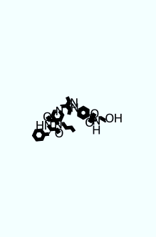 CCCCN1C(=O)[C@H](CC2CCCCC2)NC(=O)C12CCN(Cc1c(C)nn(-c3ccc(S(=O)(=O)NCCO)cc3)c1C)CC2